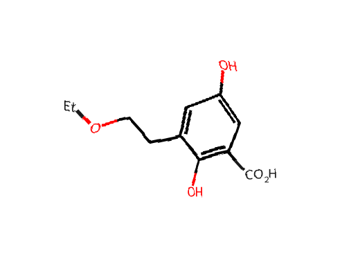 CCOCCc1cc(O)cc(C(=O)O)c1O